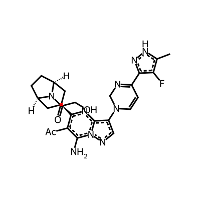 CC(=O)c1c([C@H]2C[C@H]3CC[C@@H](C2)N3C(=O)CO)nc2c(N3C=CC(c4n[nH]c(C)c4F)=NC3)cnn2c1N